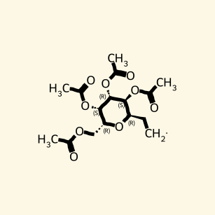 [CH2]C[C@H]1O[C@H](COC(C)=O)[C@H](OC(C)=O)[C@H](OC(C)=O)[C@H]1OC(C)=O